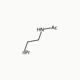 [CH2]CCCCNC(C)=O